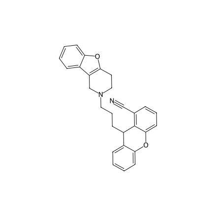 N#Cc1cccc2c1C(CCCN1CCc3oc4ccccc4c3C1)c1ccccc1O2